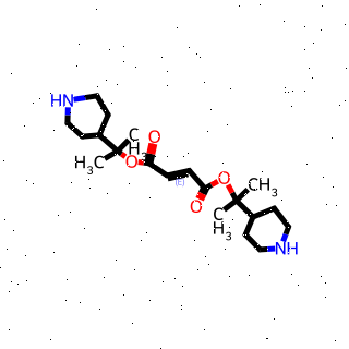 CC(C)(OC(=O)/C=C/C(=O)OC(C)(C)C1CCNCC1)C1CCNCC1